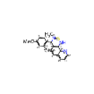 COc1ccc(C2c3ccc4cccnc4c3NSN2C)c(OC)c1